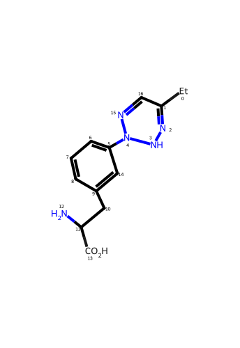 CCC1=NNN(c2cccc(CC(N)C(=O)O)c2)N=C1